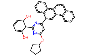 OC1=CC=CC(O)C1c1nc(OC2CCCC2)cc(-c2cc3c4ccccc4ccc3c3ccccc23)n1